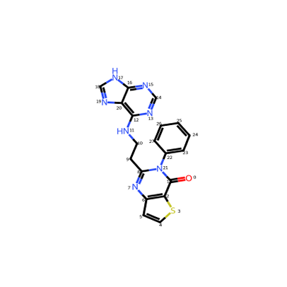 O=c1c2sccc2nc(CCNc2ncnc3[nH]cnc23)n1-c1ccccc1